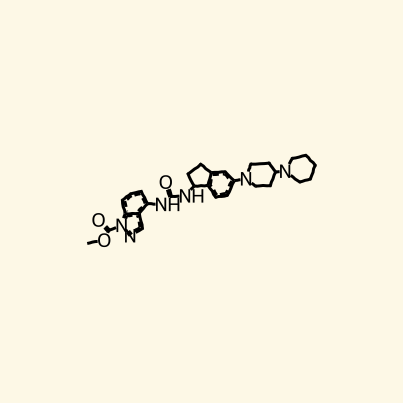 COC(=O)n1ncc2c(NC(=O)NC3CCc4cc(N5CCC(N6CCCCC6)CC5)ccc43)cccc21